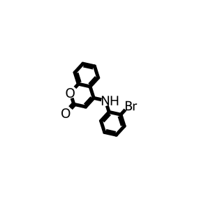 O=c1cc(Nc2ccccc2Br)c2ccccc2o1